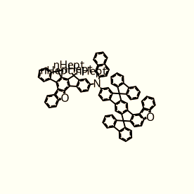 CCCCCCCC1(CCCCCCC)c2cc(N(c3ccc4c(c3)C3(c5ccccc5-c5ccccc53)c3cc5c(cc3-4)C3(c4ccccc4-c4ccccc43)c3ccc4oc6ccccc6c4c3-5)c3ccc4ccccc4c3)ccc2-c2c1c1c(c3c2oc2ccccc23)-c2ccccc2C1(CCCCCCC)CCCCCCC